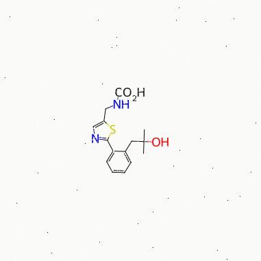 CC(C)(O)Cc1ccccc1-c1ncc(CNC(=O)O)s1